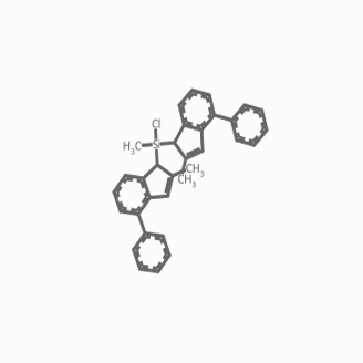 CC1=Cc2c(-c3ccccc3)cccc2C1[Si](C)(Cl)C1C(C)=Cc2c(-c3ccccc3)cccc21